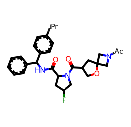 CC(=O)N1CC2(CC(C(=O)N3CC(F)CC3C(=O)NC(c3ccccc3)c3ccc(C(C)C)cc3)CO2)C1